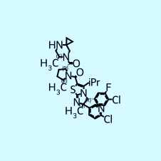 CC(C)C1=C(C(=O)N2[C@H](C)CC[C@@H]2C(=O)N2CC3(CC3)NC[C@@H]2C)SC2=N[C@@](C)(c3ccc(Cl)nc3)[C@@H](c3ccc(Cl)c(F)c3)N21